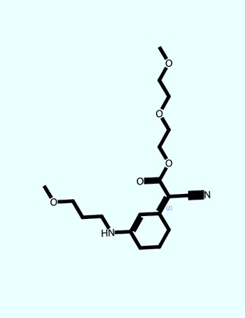 COCCCNC1=C/C(=C(/C#N)C(=O)OCCOCCOC)CCC1